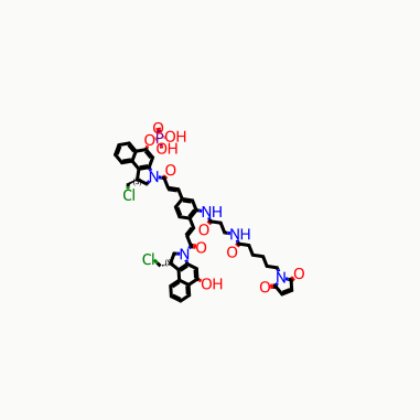 O=C(CCCCCN1C(=O)C=CC1=O)NCCC(=O)Nc1cc(C=CC(=O)N2C[C@@H](CCl)c3c2cc(OP(=O)(O)O)c2ccccc32)ccc1C=CC(=O)N1C[C@@H](CCl)c2c1cc(O)c1ccccc21